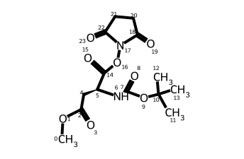 COC(=O)C[C@H](NC(=O)OC(C)(C)C)C(=O)ON1C(=O)CCC1=O